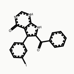 O=C(c1ccccc1)c1[nH]c2[nH]cnc(=O)c2c1-c1cccc(I)c1